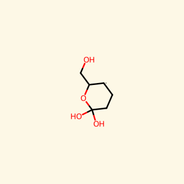 OCC1[CH]CCC(O)(O)O1